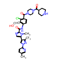 Cc1ccc(-n2cc(-c3cnc(C(=O)Nc4ccc(C(=O)N5CCN(C(=O)C6CCNCC6)CC5)c(Cl)c4)n3C)c(C(F)(F)F)n2)nc1.O=CO